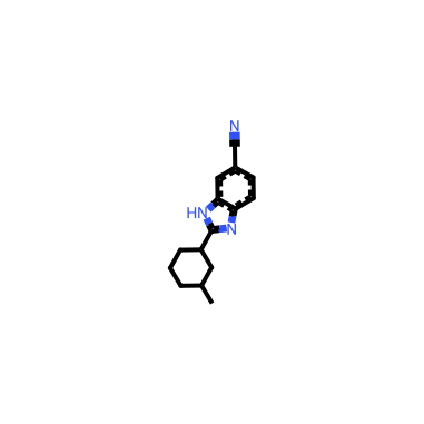 CC1CCCC(c2nc3ccc(C#N)cc3[nH]2)C1